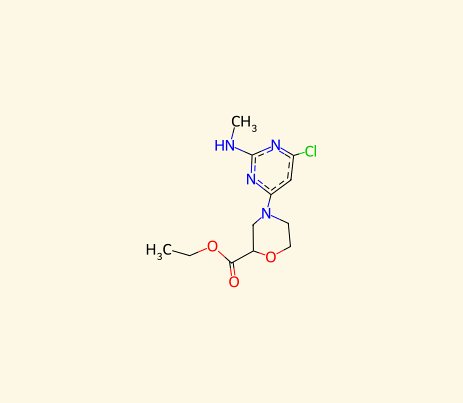 CCOC(=O)C1CN(c2cc(Cl)nc(NC)n2)CCO1